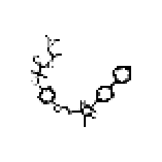 Cc1oc(-c2ccc(-c3ccccc3)cc2)nc1CCOc1ccc(OC(C)(C)C(=O)OC(C)CN(C)C)cc1